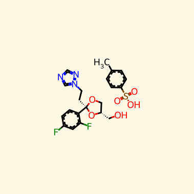 Cc1ccc(S(=O)(=O)O)cc1.OC[C@H]1CO[C@](CCn2cncn2)(c2ccc(F)cc2F)O1